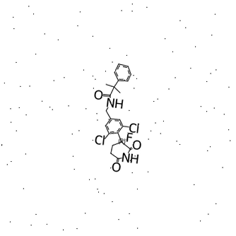 CC(C)(C(=O)NCc1cc(Cl)c([C@]2(F)CCC(=O)NC2=O)c(Cl)c1)c1ccccc1